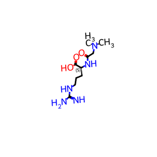 CN(C)CC(=O)N[C@@H](CCCNC(=N)N)C(=O)O